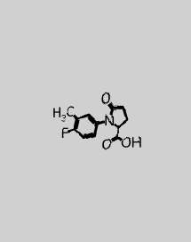 Cc1cc(N2C(=O)CC[C@H]2C(=O)O)ccc1F